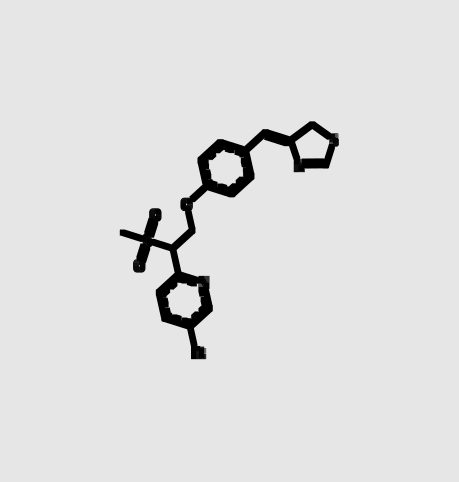 CCc1ccc(C(COc2ccc(C=C3CSC=N3)cc2)S(C)(=O)=O)nc1